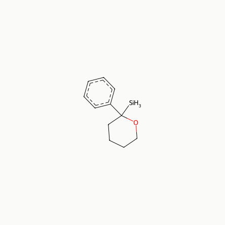 [SiH3]C1(c2ccccc2)CCCCO1